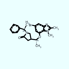 Cc1nc2cc(Br)cc(O[C@H](C)C3CC(=O)N([C@H](C)c4ccccc4)C3)c2n1C